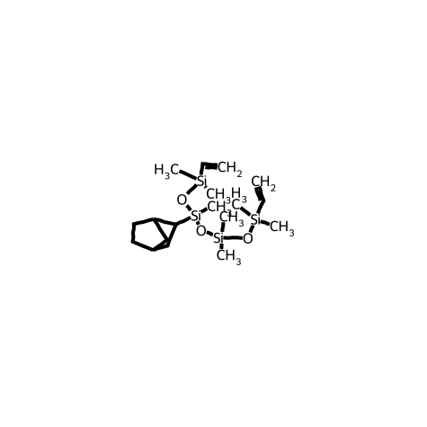 C=C[Si](C)(C)O[Si](C)(C)O[Si](C)(O[Si](C)(C)C=C)C1CC2CCC1C2